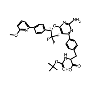 COc1cccc(-c2ccc([C@H](Oc3cc(-c4ccc(CC(NC(=O)OC(C)(C)C)C(=O)O)cc4)nc(N)n3)C(F)(F)F)cc2)n1